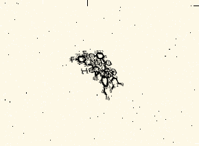 CCCC(CCC)S(=O)(=O)CC(NC(=O)c1cccc(O)c1)C(=O)N(C[C@@H](O)[C@@H](N)Cc1cc(F)cc(F)c1)C1(c2cccc(CC)c2)CC1